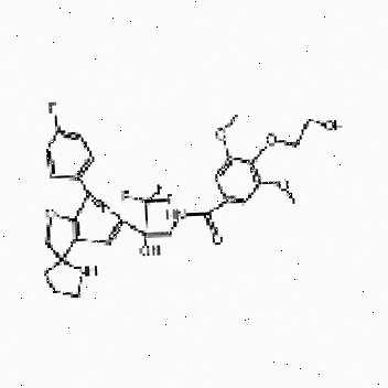 COc1cc(C(=O)NCC(O)(c2cc3c(c(-c4ccc(F)cc4)n2)OCC32CCCN2)C(F)(F)F)cc(OC)c1OCCO